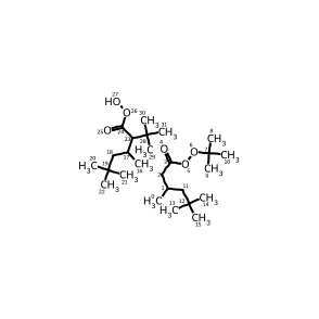 CC(CC(=O)OOC(C)(C)C)CC(C)(C)C.CC(CC(C)(C)C)C(C(=O)OO)C(C)(C)C